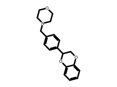 c1ccc2c(c1)OCC(c1ccc(CN3CCOCC3)cc1)O2